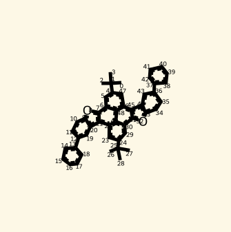 CC(C)(C)c1cc2c3oc4ccc(-c5ccccc5)cc4c3c3cc(C(C)(C)C)cc4c5oc6ccc(-c7ccccc7)cc6c5c(c1)c2c43